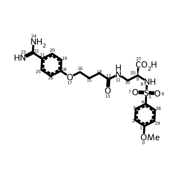 COc1ccc(S(=O)(=O)N[C@@H](CNC(=O)CCCOc2ccc(C(=N)N)cc2)C(=O)O)cc1